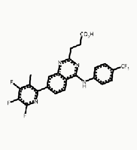 Cc1c(-c2ccc3c(Nc4ccc(C(F)(F)F)cc4)nc(CCC(=O)O)nc3c2)nc(F)c(F)c1F